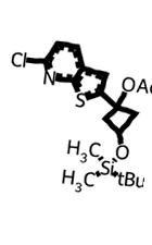 CC(=O)OC1(c2cc3ccc(Cl)nc3s2)CC(O[Si](C)(C)C(C)(C)C)C1